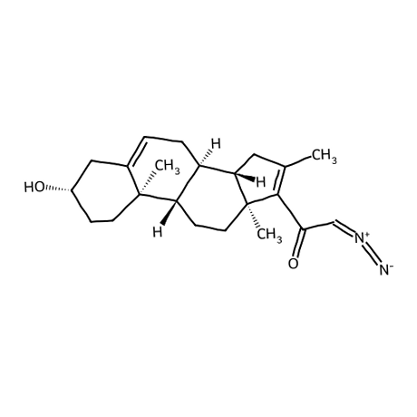 CC1=C(C(=O)C=[N+]=[N-])[C@@]2(C)CC[C@H]3[C@@H](CC=C4C[C@@H](O)CC[C@@]43C)[C@@H]2C1